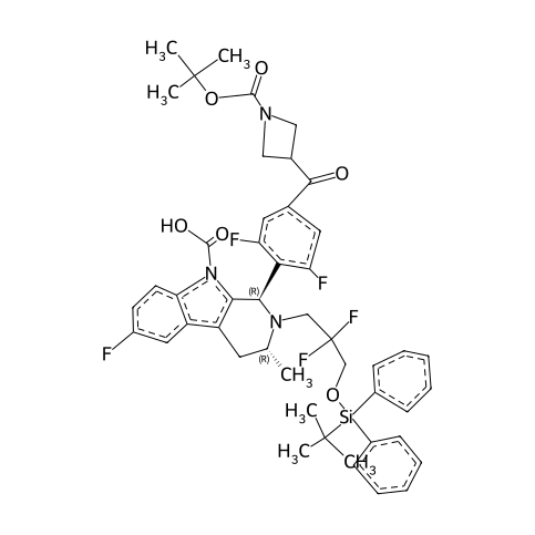 C[C@@H]1Cc2c(n(C(=O)O)c3ccc(F)cc23)[C@@H](c2c(F)cc(C(=O)C3CN(C(=O)OC(C)(C)C)C3)cc2F)N1CC(F)(F)CO[Si](c1ccccc1)(c1ccccc1)C(C)(C)C